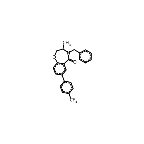 CC1COc2ccc(-c3ccc(C(F)(F)F)cc3)cc2C(=O)N1Cc1ccccc1